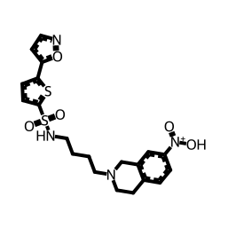 O=[N+](O)c1ccc2c(c1)CN(CCCCNS(=O)(=O)c1ccc(-c3ccno3)s1)CC2